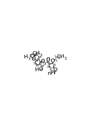 C=CCOc1cc(OCCC)ccc1C(=O)COc1c(CO)ccc2c1CCC(C)(C)O2